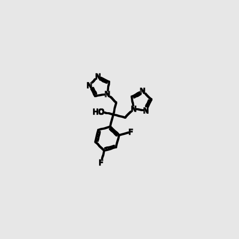 OC(Cn1cnnc1)(Cn1cncn1)c1ccc(F)cc1F